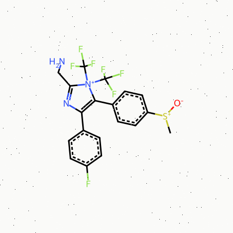 C[S+]([O-])c1ccc(C2=C(c3ccc(F)cc3)N=C(CN)[N+]2(C(F)(F)F)C(F)(F)F)cc1